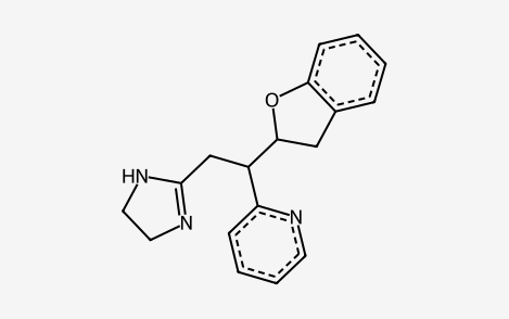 c1ccc(C(CC2=NCCN2)C2Cc3ccccc3O2)nc1